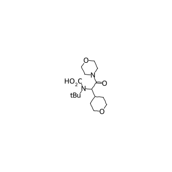 CC(C)(C)N(C(=O)O)C(C(=O)N1CCOCC1)C1CCOCC1